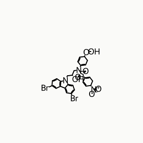 O=[N+]([O-])C1C=CC(S(=O)(=O)N(CC(O)Cn2c3ccc(Br)cc3c3cc(Br)ccc32)C2=CCC(OO)C=C2)=CC1